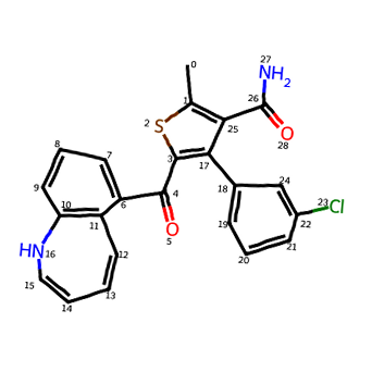 Cc1sc(C(=O)c2cccc3c2C=CC=CN3)c(-c2cccc(Cl)c2)c1C(N)=O